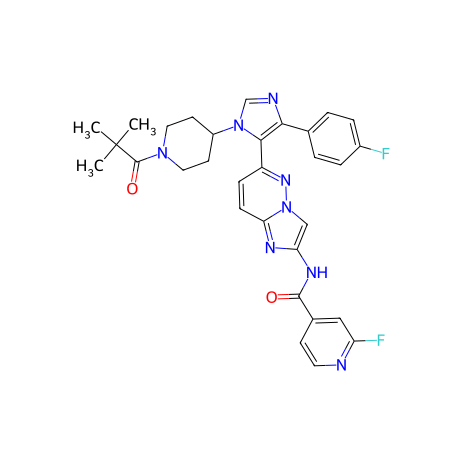 CC(C)(C)C(=O)N1CCC(n2cnc(-c3ccc(F)cc3)c2-c2ccc3nc(NC(=O)c4ccnc(F)c4)cn3n2)CC1